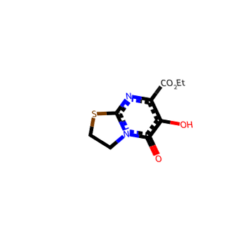 CCOC(=O)c1nc2n(c(=O)c1O)CCS2